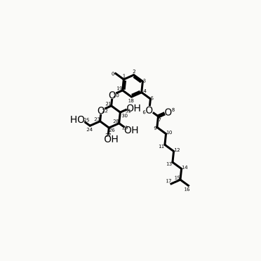 Cc1ccc(COC(=O)CCCCCCC(C)C)cc1OC1OC(CO)C(O)C(O)C1O